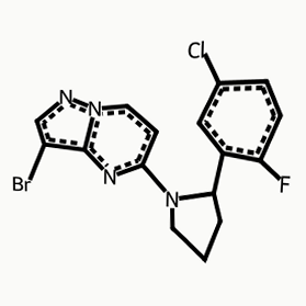 Fc1ccc(Cl)cc1C1CCCN1c1ccn2ncc(Br)c2n1